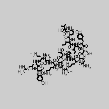 CC[C@H](C)[C@H](NC(=O)[C@@H](NC(=O)[C@@H]1CCCN1C(=O)[C@](N)(O)C(C)C)[C@@H](C)CC)C(=O)N[C@@H](Cc1ccc(O)cc1)C(=O)N[C@@H](CS)C(=O)N[C@@H](CC(N)=O)C(=O)N[C@@H](CCCNC(=N)N)C(=O)N[C@@H](CCN)C(=O)N[C@H](C(=O)N[C@H](CCN)C(=O)N[C@@H](CCCCN)C(=O)N[C@@H](CS)C(=O)N[C@@H](CCN)C(=O)N[C@@H](CCCNC(=N)N)C(=O)N[C@@H](Cc1ccc(O)cc1)C(=O)O)[C@@H](C)O